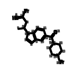 CC(C)C(=N)CC(C)n1ccc2cc(C(=O)N3CCN(C(C)C)CC3)ccc21